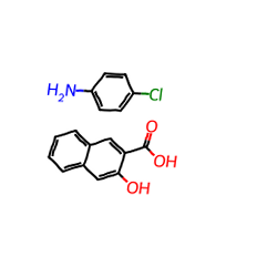 Nc1ccc(Cl)cc1.O=C(O)c1cc2ccccc2cc1O